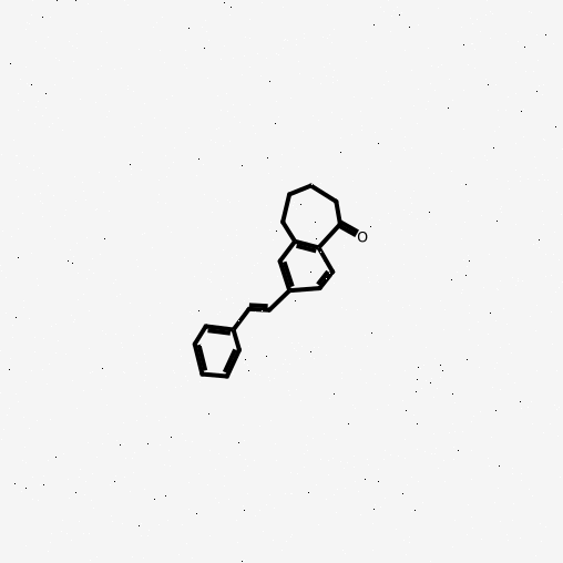 O=C1CCCCc2cc(C=Cc3ccccc3)ccc21